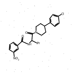 CC(C)C(NC(=O)c1cccc([N+](=O)[O-])c1)C(=O)N1CCC(c2ccc(Cl)cc2)CC1